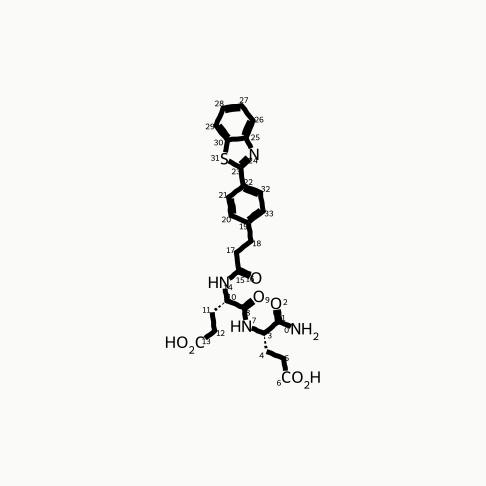 NC(=O)[C@H](CCC(=O)O)NC(=O)[C@H](CCC(=O)O)NC(=O)CCc1ccc(-c2nc3ccccc3s2)cc1